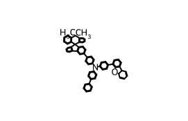 CC1(C)c2ccccc2C2(c3ccccc3-c3cc(-c4ccc(N(c5ccc(-c6ccccc6)cc5)c5ccc(-c6cccc7c6OC6C=CC=CC76)cc5)cc4)ccc32)c2ccccc21